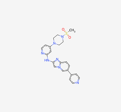 CS(=O)(=O)N1CCN(c2ccnc(Nc3cn4cc(-c5ccncc5)ccc4n3)c2)CC1